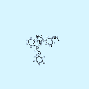 Nc1cncc(-c2nc([C@H]3CCCCN3C(=O)COc3ccccc3)no2)c1